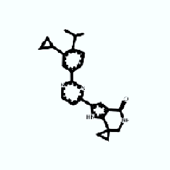 CC(C)c1ccc(-c2nccc(-c3cc4c([nH]3)C3(CC3)CNC4=O)n2)cc1C1CC1